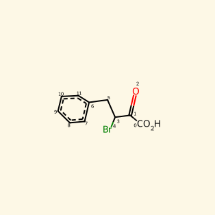 O=C(O)C(=O)C(Br)Cc1ccccc1